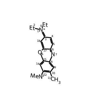 CC[N+](CC)=c1ccc2nc3cc(C)c(NC)cc3oc-2c1